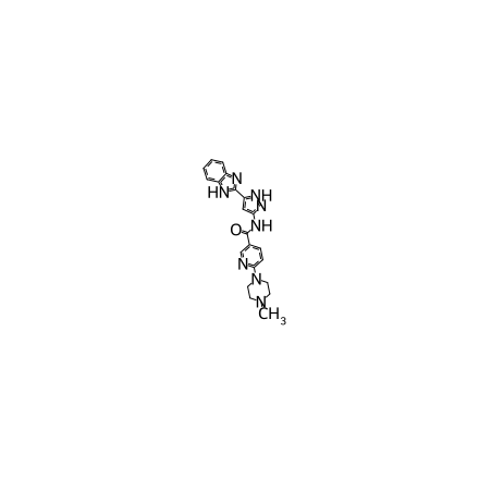 CN1CCN(c2ccc(C(=O)Nc3cc(-c4nc5ccccc5[nH]4)[nH]n3)cn2)CC1